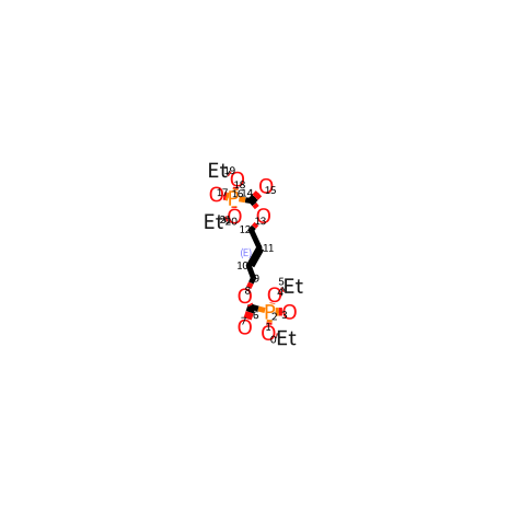 CCOP(=O)(OCC)C(=O)OC/C=C/COC(=O)P(=O)(OCC)OCC